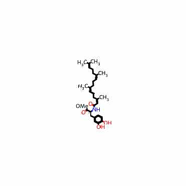 COC(=O)[C@H](Cc1ccc(O)c(O)c1)NC(=O)C=C(C)CCC=C(C)CCC=C(C)CCC=C(C)C